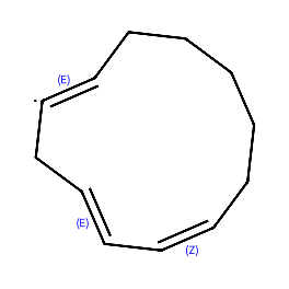 [C]1=C/CCCCC/C=C\C=C\C/1